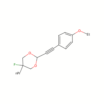 CCCC1(F)COC(C#Cc2ccc(OCC)cc2)OC1